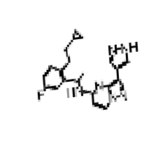 CC(Nc1ccn2ncc(-c3cn[nH]c3)c2n1)c1cc(F)ccc1CCC1CC1